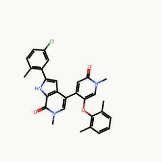 Cc1ccc(Cl)cc1-c1cc2c(-c3cc(=O)n(C)cc3Oc3c(C)cccc3C)cn(C)c(=O)c2[nH]1